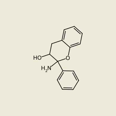 NC1(c2ccccc2)Oc2ccccc2CC1O